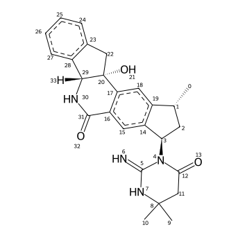 C[C@@H]1C[C@@H](N2C(=N)NC(C)(C)CC2=O)c2cc3c(cc21)[C@]1(O)Cc2ccccc2[C@H]1NC3=O